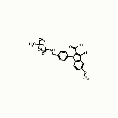 COc1ccc2c(c1)c(Cl)c(C(=O)O)n2-c1ccc(CNC(=O)OC(C)(C)C)cc1